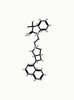 CC1(C)C(=O)N(CCN2CC3CC(c4cccc5ccccc45)C3C2)c2ccccc21